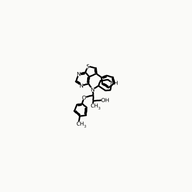 Cc1ccc(OC(C(C)O)N(c2ncnc3scc(-c4ccccc4)c23)C2CCNCC2)cc1